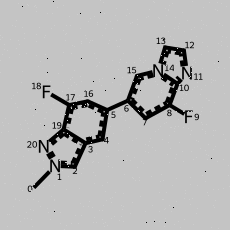 Cn1cc2cc(-c3cc(F)c4nccn4c3)cc(F)c2n1